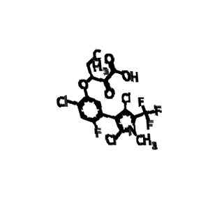 CCC(Oc1cc(-c2c(Cl)c(C(F)(F)F)n(C)c2Cl)c(F)cc1Cl)C(=O)C(=O)O